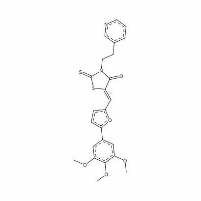 COc1cc(-c2ccc(/C=C3\SC(=S)N(CCc4cccnc4)C3=O)o2)cc(OC)c1OC